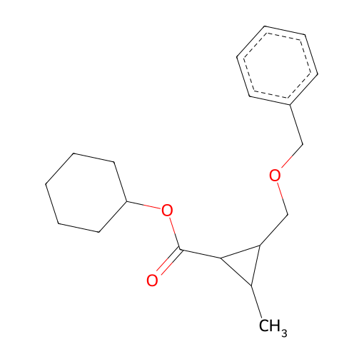 CC1C(COCc2ccccc2)C1C(=O)OC1CCCCC1